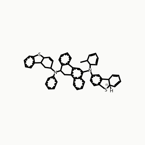 CC1C=CC=CC1N(c1ccc2c(c1)C1C=CC=C[C@@H]1S2)c1cc2c(c3ccccc13)CC(N(c1ccccc1)C1C=CC3Sc4ccccc4C3C1)c1ccccc1-2